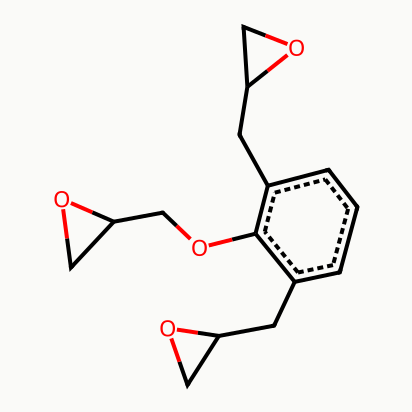 c1cc(CC2CO2)c(OCC2CO2)c(CC2CO2)c1